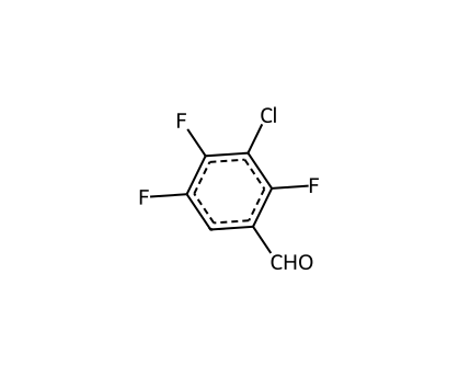 O=Cc1cc(F)c(F)c(Cl)c1F